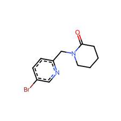 O=C1CCCCN1Cc1ccc(Br)cn1